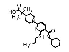 CCCSc1nc(N2CCC(C(C)(C)C(=O)O)CC2)ccc1C(=O)NC1CCCCC1